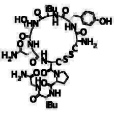 CC[C@H](C)C1NC(=O)[C@H](Cc2ccc(O)cc2)NC(=O)[C@@H](N)CSSC[C@@H](C(=O)N2CCC[C@H]2C(=O)N[C@H](C(=O)NCC(N)=O)[C@@H](C)CC)NC(=O)[C@H](CC(N)=O)NC(=O)[C@H](CO)NC1=O